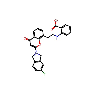 O=C(O)c1ccccc1NCCc1cccc2c(=O)cc(N3Cc4ccc(F)cc4C3)oc12